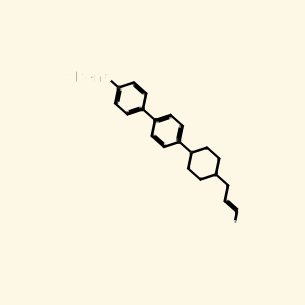 CCCCCc1ccc(-c2ccc(C3CCC(C/C=C/F)CC3)cc2)cc1